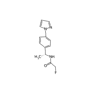 C[C@@H](NC(=O)CF)c1ccc(-n2cccn2)cc1